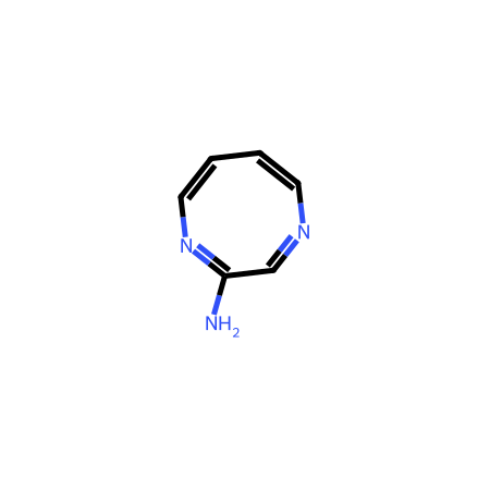 NC1=NC=CC=CN=C1